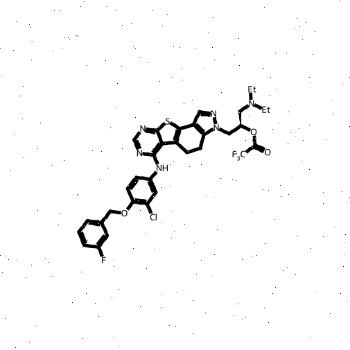 CCN(CC)C[C@H](Cn1ncc2c1CCc1c-2sc2ncnc(Nc3ccc(OCc4cccc(F)c4)c(Cl)c3)c12)OC(=O)C(F)(F)F